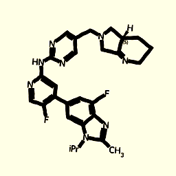 Cc1nc2c(F)cc(-c3cc(Nc4ncc(CN5CC6=NCCC[C@H]6C5)cn4)ncc3F)cc2n1C(C)C